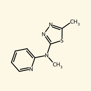 Cc1nnc(N(C)c2ccccn2)s1